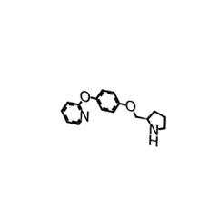 c1ccc(Oc2ccc(OC[C@H]3CCCN3)cc2)nc1